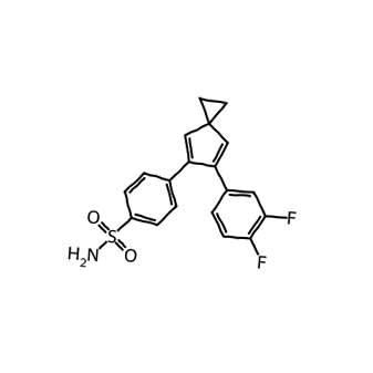 NS(=O)(=O)c1ccc(C2=CC3(C=C2c2ccc(F)c(F)c2)CC3)cc1